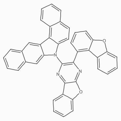 c1ccc2cc3c(cc2c1)c1c2ccccc2ccc1n3-c1nc2c(nc1-c1cccc3oc4ccccc4c13)oc1ccccc12